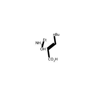 CCCCC=CC(=O)O.CCO.N